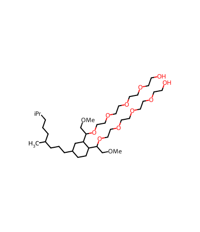 COCC(OCCOCCOCCOCCO)C1CCC(CCCC(C)CCCC(C)C)CC1C(COC)OCCOCCOCCOCCO